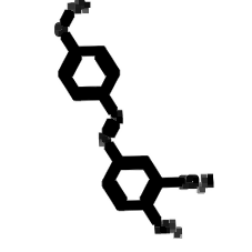 CCCOc1ccc(N=Nc2ccc(N)c(S(=O)(=O)O)c2)cc1